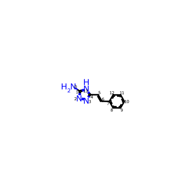 Nc1nnc(C=Cc2ccccc2)[nH]1